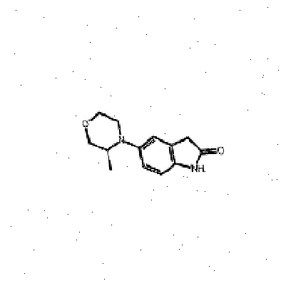 C[C@H]1COCCN1c1ccc2c(c1)CC(=O)N2